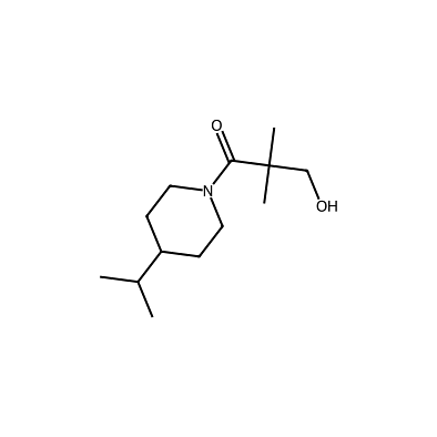 CC(C)C1CCN(C(=O)C(C)(C)CO)CC1